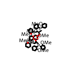 COc1ccccc1P(CC(CCCCC(CP(c1ccccc1OC)c1ccccc1OC)CP(c1ccccc1OC)c1ccccc1OC)CP(c1ccccc1OC)c1ccccc1OC)c1ccccc1OC